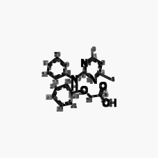 Cc1cc(C)nc(Nc2ccccc2)n1.O=C(O)COc1ccccc1